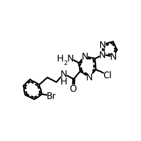 Nc1nc(-n2nccn2)c(Cl)nc1C(=O)NCCc1ccccc1Br